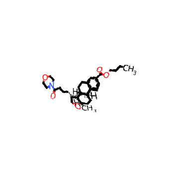 CCCCOC(=O)c1ccc2c(c1)CC[C@H]1[C@@H]3[C@@H](CCCC(=O)N4CCOCC4)CO[C@@]3(C)CC[C@H]21